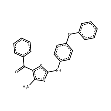 Nc1nc(Nc2ccc(Oc3ccccc3)cc2)sc1C(=O)c1ccccc1